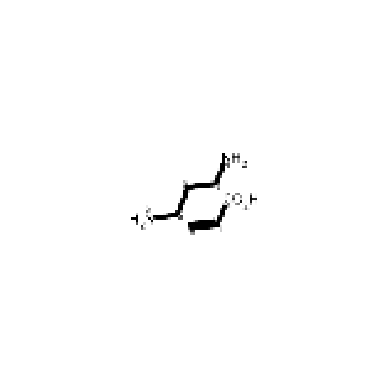 C=CC(=O)O.NCCCN